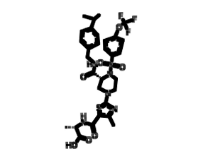 Cc1nc(N2CCN(S(=O)(=O)c3ccc(OC(F)(F)F)cc3)[C@@H](C(=O)NCc3ccc(C(C)C)cc3)C2)sc1C(=O)N[C@@H](C)C(=O)O